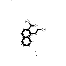 O=C(O)c1ccc2ccccc2c1CCO